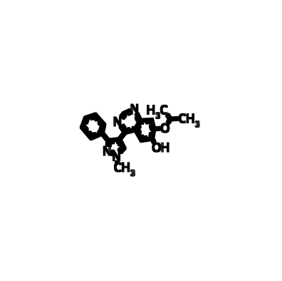 CC(C)Oc1cc2ncnc(-c3cn(C)nc3-c3ccccc3)c2cc1O